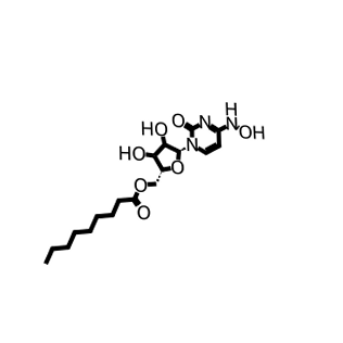 CCCCCCCCC(=O)OC[C@H]1O[C@@H](n2ccc(NO)nc2=O)C(O)C1O